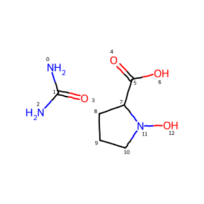 NC(N)=O.O=C(O)C1CCCN1O